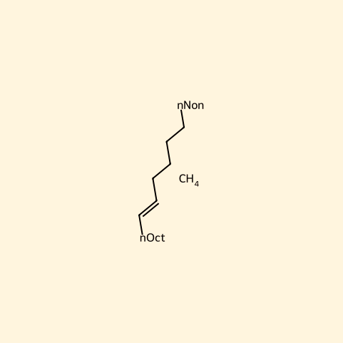 C.CCCCCCCCC=CCCCCCCCCCCCCC